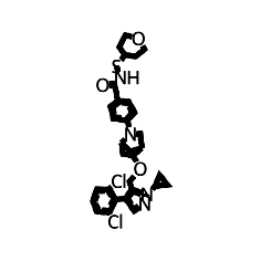 O=C(NSC1CCOCC1)c1ccc(N2CC3CC2CC3OCc2c(-c3c(Cl)cccc3Cl)cnn2C2CC2)cc1